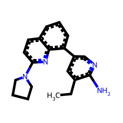 CCc1cc(-c2cccc3ccc(N4CCCC4)nc23)cnc1N